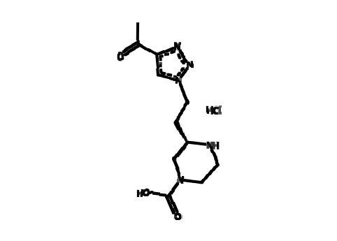 CC(=O)c1cn(CC[C@@H]2CN(C(=O)O)CCN2)nn1.Cl